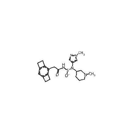 CN1CCCC(N(c2cnn(C)c2)[S+]([O-])NC(=O)Cc2c3c(cc4c2CC4)CC3)C1